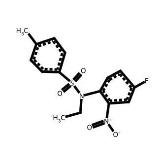 CCN(c1ccc(F)cc1[N+](=O)[O-])S(=O)(=O)c1ccc(C)cc1